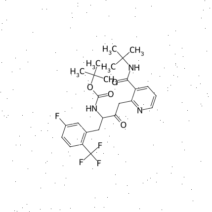 CC(C)(C)NC(=O)c1cccnc1CC(=O)C(Cc1cc(F)ccc1C(F)(F)F)NC(=O)OC(C)(C)C